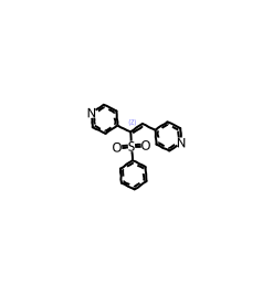 O=S(=O)(/C(=C\c1ccncc1)c1ccncc1)c1ccccc1